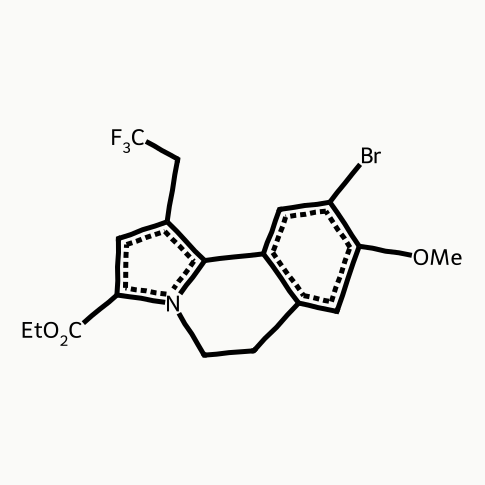 CCOC(=O)c1cc(CC(F)(F)F)c2n1CCc1cc(OC)c(Br)cc1-2